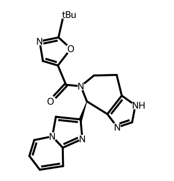 CC(C)(C)c1ncc(C(=O)N2CCc3[nH]cnc3[C@H]2c2cn3ccccc3n2)o1